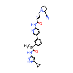 C[C@H](C(=O)Nc1cc(C2CC2)[nH]n1)c1cccc(-c2ccc(NC(=O)/C=C/CN3CCCC3C#N)nc2)c1